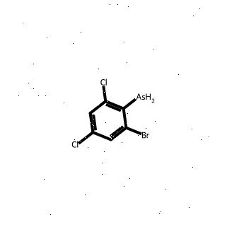 Clc1cc(Cl)c([AsH2])c(Br)c1